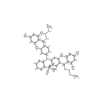 CCCCN(c1ccc(C(c2ccc(N(CCCC)c3c(Cl)cc(Cl)cc3Cl)cc2)c2ccccc2S(=O)(=O)O)cc1)c1c(Cl)cc(Cl)cc1Cl